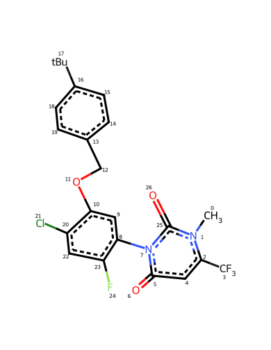 Cn1c(C(F)(F)F)cc(=O)n(-c2cc(OCc3ccc(C(C)(C)C)cc3)c(Cl)cc2F)c1=O